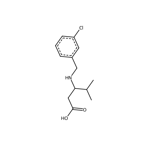 CC(C)C(CC(=O)O)NCc1cccc(Cl)c1